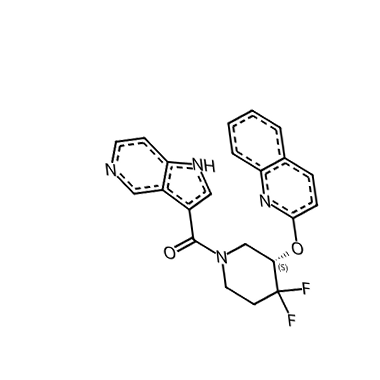 O=C(c1c[nH]c2ccncc12)N1CCC(F)(F)[C@@H](Oc2ccc3ccccc3n2)C1